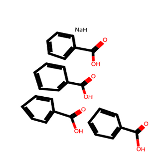 O=C(O)c1ccccc1.O=C(O)c1ccccc1.O=C(O)c1ccccc1.O=C(O)c1ccccc1.[NaH]